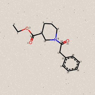 CCOC(=O)C1CCCN(C(=O)Cc2ccccc2)C1